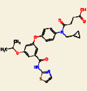 CC(C)Oc1cc(Oc2ccc(N(CC3CC3)C(=O)CCC(=O)O)cc2)cc(C(=O)Nc2nccs2)c1